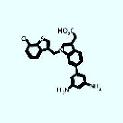 Nc1cc(N)cc(-c2ccc3c(CC(=O)O)cn(Cc4csc5c(Cl)cccc45)c3c2)c1